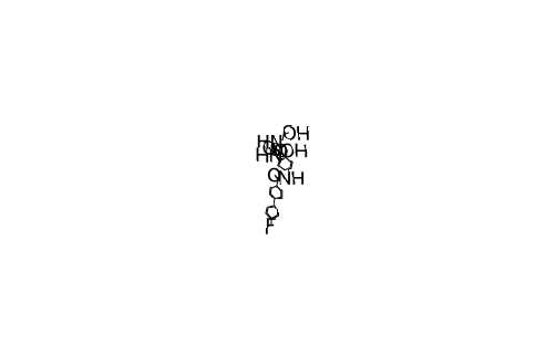 O=C(Nc1ccc(O)c(NS(=O)(=O)NCCO)c1)c1ccc(-c2ccc(F)cc2)cc1